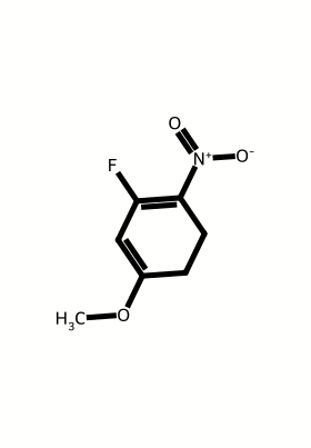 COC1=CC(F)=C([N+](=O)[O-])CC1